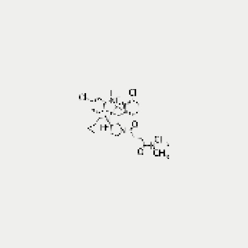 CN(C)C(=O)CCC(=O)N1CC[C@H]2C1[C@H](c1cccc(Cl)c1F)[C@]1(C(=O)Nc3cc(Cl)ccc31)N2CC1CC1